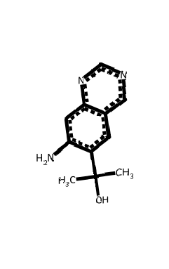 CC(C)(O)c1cc2cncnc2cc1N